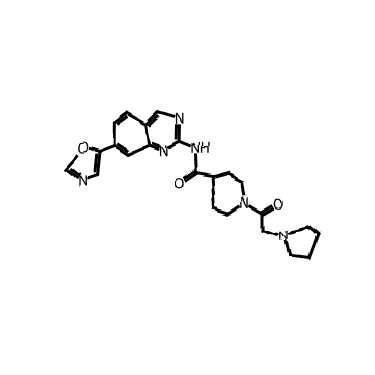 O=C(Nc1ncc2ccc(-c3cnco3)cc2n1)C1CCN(C(=O)CN2CCCC2)CC1